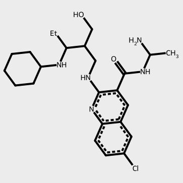 CCC(NC1CCCCC1)C(CO)CNc1nc2ccc(Cl)cc2cc1C(=O)NC(C)N